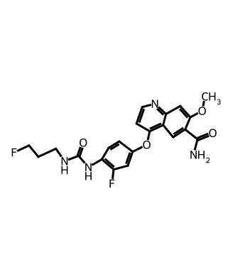 COc1cc2nccc(Oc3ccc(NC(=O)NCCCF)c(F)c3)c2cc1C(N)=O